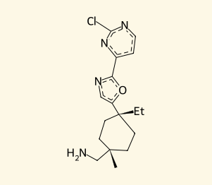 CC[C@]1(c2cnc(-c3ccnc(Cl)n3)o2)CC[C@@](C)(CN)CC1